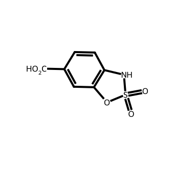 O=C(O)c1ccc2c(c1)OS(=O)(=O)N2